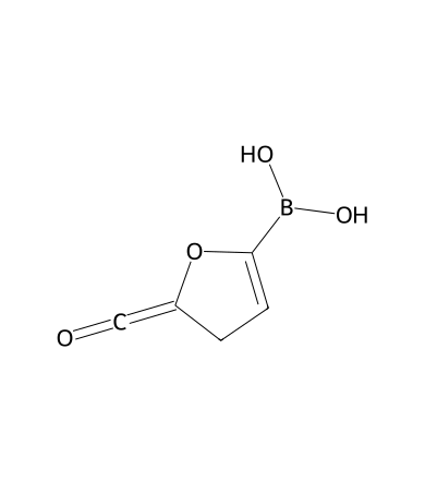 O=C=C1CC=C(B(O)O)O1